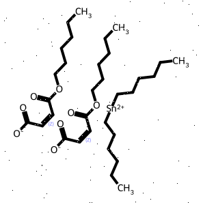 CCCCCCOC(=O)/C=C\C(=O)[O-].CCCCCCOC(=O)/C=C\C(=O)[O-].CCCCC[CH2][Sn+2][CH2]CCCCC